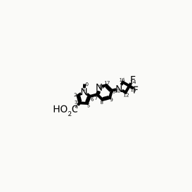 Cn1cc(C(=O)O)cc1-c1ccc(N2CC(F)(F)C2)cn1